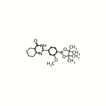 COc1cc(-c2nc3c(c(=O)[nH]2)CSCC3)ccc1B1OC(C)(C)C(C)(C)O1